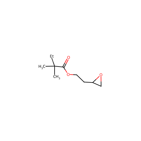 CCC(C)(C)C(=O)OCCC1CO1